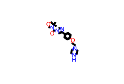 CC1(C)COCN1C(=O)n1cnc(-c2ccc(OCCN3CCNCC3)cc2)c1